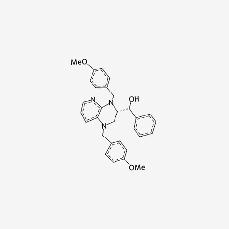 COc1ccc(CN2C[C@@H](C(O)c3ccccc3)N(Cc3ccc(OC)cc3)c3ncccc32)cc1